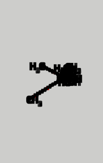 CCCCCCCCCCCCCCCCCCCCCCCCCCN[C@@H](CO[C@H]1O[C@H](COC(=O)Nc2ccccc2C(C)(C)C)[C@H](O)[C@H](O)[C@H]1O)[C@H](O)[C@H](O)CCCCCCCCCCCCCC